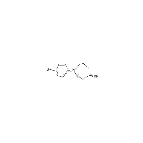 Oc1ccc([C@@H]2CCC[C@@H](O)CC2)cc1